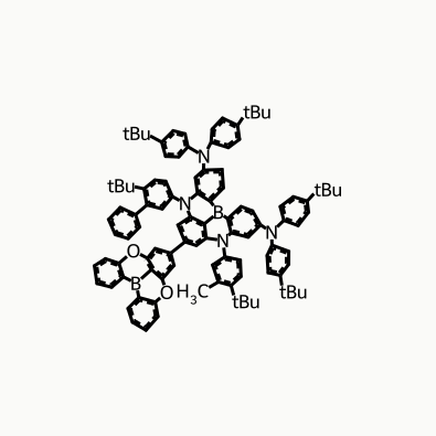 Cc1cc(N2c3cc(N(c4ccc(C(C)(C)C)cc4)c4ccc(C(C)(C)C)cc4)ccc3B3c4ccc(N(c5ccc(C(C)(C)C)cc5)c5ccc(C(C)(C)C)cc5)cc4N(c4ccc(C(C)(C)C)c(-c5ccccc5)c4)c4cc(-c5cc6c7c(c5)Oc5ccccc5B7c5ccccc5O6)cc2c43)ccc1C(C)(C)C